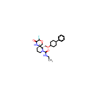 CCNC(=O)N1CCC[C@@]2(COC(F)C(=O)N2)[C@@H]1COC1CCC(c2ccccc2)CC1